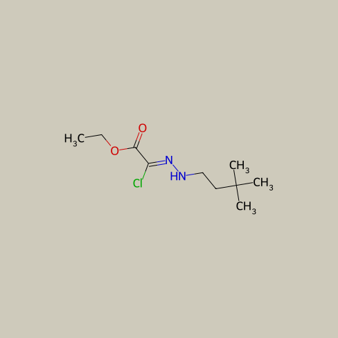 CCOC(=O)/C(Cl)=N/NCCC(C)(C)C